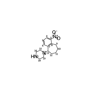 O=[N+]([O-])c1cccc2c1CCCCC2N1CCNCC1